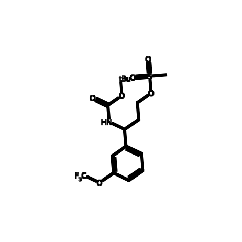 CC(C)(C)OC(=O)NC(CCOS(C)(=O)=O)c1cccc(OC(F)(F)F)c1